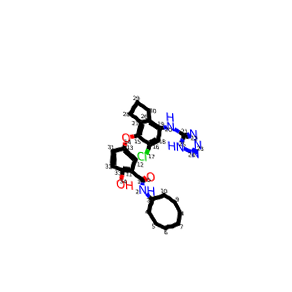 O=C(NC1CCCCCCC1)c1cc(Oc2c(Cl)cc(Nc3nnn[nH]3)c3c2CCC3)ccc1O